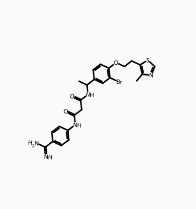 Cc1ncsc1CCOc1ccc(C(C)NC(=O)CC(=O)Nc2ccc(C(=N)N)cc2)cc1Br